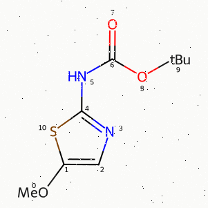 COc1cnc(NC(=O)OC(C)(C)C)s1